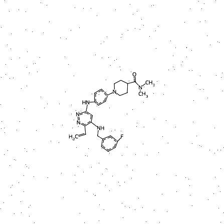 C=Cc1nnc(Nc2ccc(N3CCC(C(=O)N(C)C)CC3)cc2)cc1NCc1cccc(F)c1